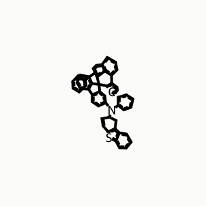 C1=CC(N(c2ccccc2)c2ccc3c(c2)C2(c4ccccc4-3)c3ccccc3-c3cccc4ccc(-c5ccccc5)c2c34)Cc2c1sc1ccccc21